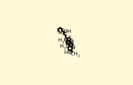 CC[C@]1(O)CC[C@@]2(C)[C@@H](CC[C@@H]3[C@@H]2CC[C@]2(C)[C@@H](CCC[C@H](O)c4ccccn4)CC[C@@H]32)C1